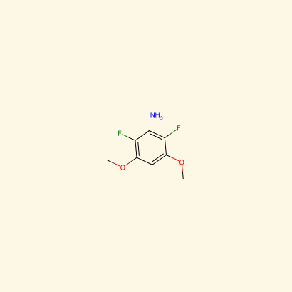 COc1cc(OC)c(F)cc1F.N